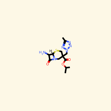 Cc1nnn(CC2(C(=O)OC(C)C)CS[C@@H]3C(N)C(=O)N3C2)n1